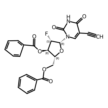 C#Cc1cn([C@@H]2O[C@H](COC(=O)c3ccccc3)[C@@H](OC(=O)c3ccccc3)[C@@H]2F)c(=O)[nH]c1=O